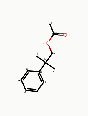 CC(=O)OCC(C)(C)c1ccccc1